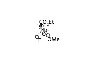 CCOC(=O)c1nc(CN(CCCc2cccc(F)c2)C(=O)C2(c3ccc(OC)cc3)CC2)sc1C